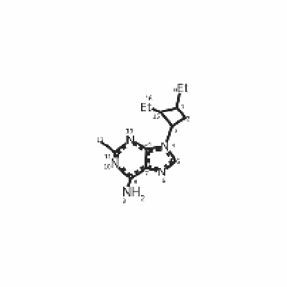 CCC1CC(n2cnc3c(N)nc(C)nc32)C1CC